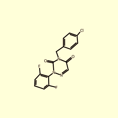 O=c1cnn(-c2c(F)cccc2F)c(=O)n1Cc1ccc(Cl)cc1